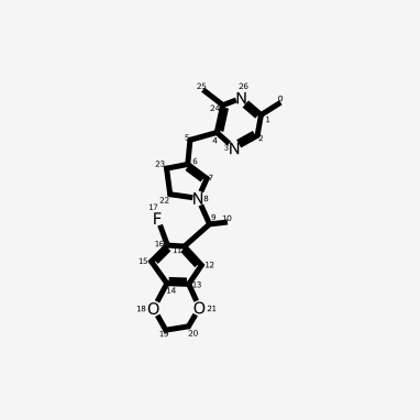 Cc1cnc(CC2=CN(C(C)c3cc4c(cc3F)OCCO4)CC2)c(C)n1